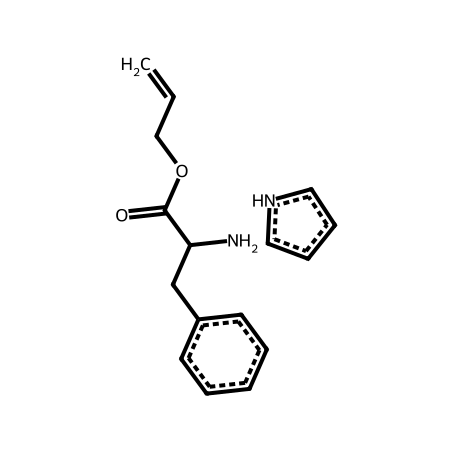 C=CCOC(=O)C(N)Cc1ccccc1.c1cc[nH]c1